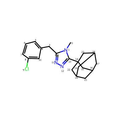 Cn1c(Cc2cccc(Cl)c2)nnc1C12CC3CC(CC(C3)C1)C2